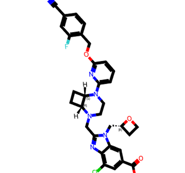 COC(=O)c1cc(Cl)c2nc(CN3CCN(c4cccc(OCc5ccc(C#N)cc5F)n4)[C@H]4CC[C@H]43)n(C[C@H]3CCO3)c2c1